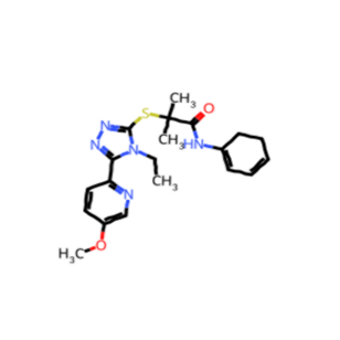 CCn1c(SC(C)(C)C(=O)NC2=CC=CCC2)nnc1-c1ccc(OC)cn1